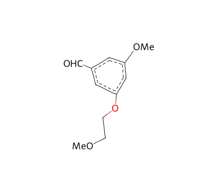 COCCOc1cc(C=O)cc(OC)c1